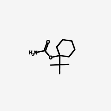 CC(C)(C)C1(OC(N)=O)CCCCC1